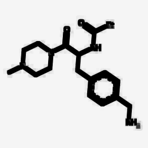 CCC(=O)NC(Cc1ccc(CN)cc1)C(=O)N1CCN(C)CC1